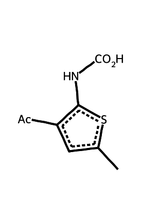 CC(=O)c1cc(C)sc1NC(=O)O